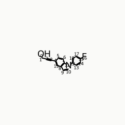 OCC#Cc1ccc2c(ccn2-c2ccc(F)cc2)c1